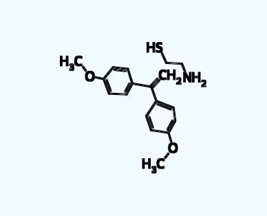 C=C(c1ccc(OC)cc1)c1ccc(OC)cc1.NCCS